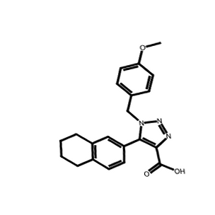 COc1ccc(Cn2nnc(C(=O)O)c2-c2ccc3c(c2)CCCC3)cc1